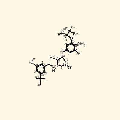 COc1cc(CN[C@H]2C[S@+]([O-])C[C@@H](Cc3cc(F)c(N)c(O[C@@](C)(OC)C(F)(F)F)c3)[C@@H]2O)cc(C(C)(C)C)c1